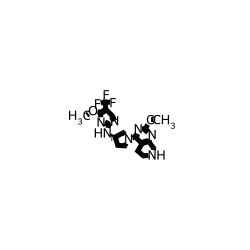 COc1nc2c(c(N3CC[C@@H](Nc4ncc(C(F)(F)F)c(OC)n4)C3)n1)CCNC2